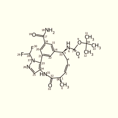 C[C@@H]1C=CC[C@H](NC(=O)OC(C)(C)C)c2cc(C(N)=O)cc(c2)-c2c(cnn2C(F)F)NC1=O